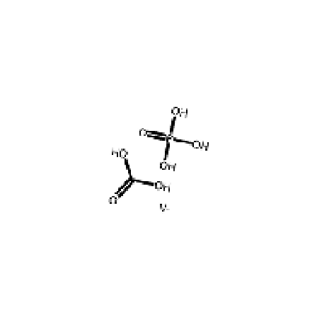 O=C(O)O.O=P(O)(O)O.[V]